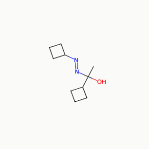 CC(O)(N=NC1CCC1)C1CCC1